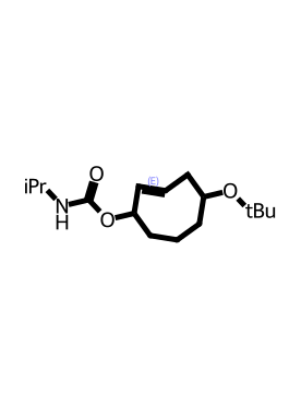 CC(C)NC(=O)OC1/C=C/CC(OC(C)(C)C)CCC1